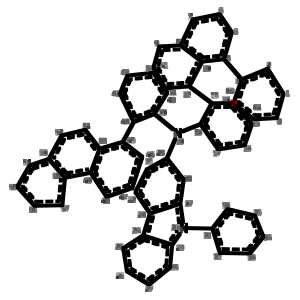 c1ccc(-c2cccc3cccc(-c4ccccc4N(c4ccc5c6ccccc6n(-c6ccccc6)c5c4)c4ccccc4-c4cccc5c4ccc4ccccc45)c23)cc1